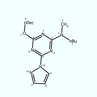 CCCCCCCCCCOc1nc(N(C)CCCC)nc(-n2cccn2)n1